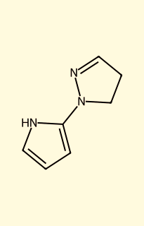 C1=NN(c2ccc[nH]2)CC1